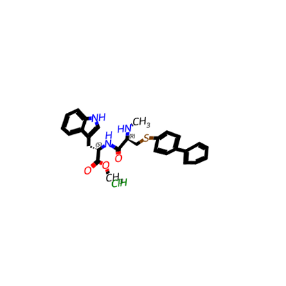 CN[C@@H](CSc1ccc(-c2ccccc2)cc1)C(=O)N[C@@H](Cc1c[nH]c2ccccc12)C(=O)OC.Cl